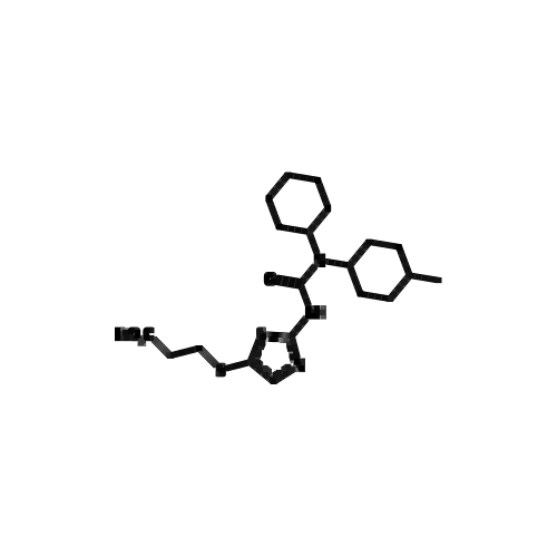 CCOC(=O)CCSc1cnc(NC(=O)N(C2CCCCC2)C2CCC(C)CC2)s1